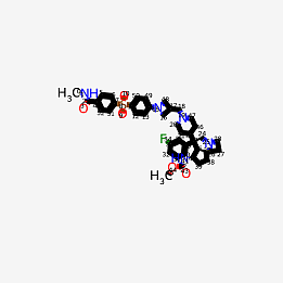 CNC(=O)c1ccc(S(=O)(=O)c2ccc(N3CC(CN4CCC([C@@](CN5CCC5)(c5cccc(F)c5)[C@H]5CCC[C@@H]5NC(=O)OC)CC4)C3)cc2)cc1